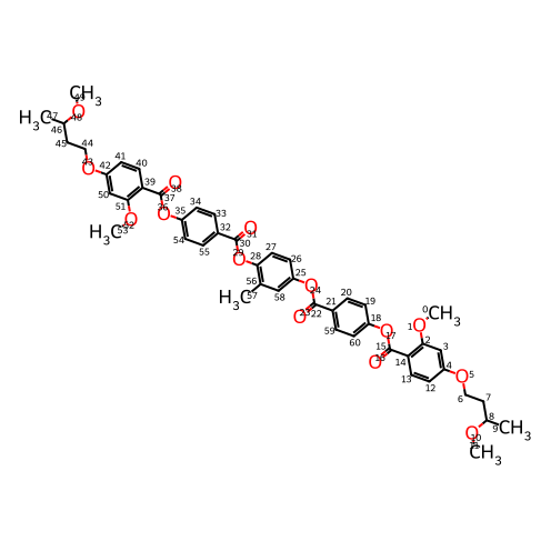 COc1cc(OCCC(C)OC)ccc1C(=O)Oc1ccc(C(=O)Oc2ccc(OC(=O)c3ccc(OC(=O)c4ccc(OCCC(C)OC)cc4OC)cc3)c(C)c2)cc1